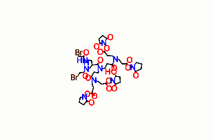 O=C(CBr)NCC(CNC(=O)CBr)C(=O)N(CCC(=O)N(CCC(=O)ON1CCCC1=O)CCC(=O)ON1C(=O)CCC1=O)CCC(=O)N(CCC(=O)ON1CCCC1=O)CCC(=O)ON1C(=O)CCC1O